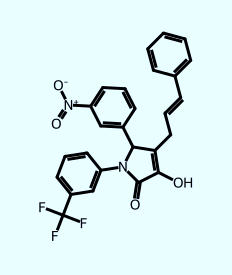 O=C1C(O)=C(C/C=C/c2ccccc2)C(c2cccc([N+](=O)[O-])c2)N1c1cccc(C(F)(F)F)c1